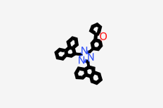 c1ccc2c(c1)cc(-c1nc(-c3ccc4oc5ccccc5c4c3)nc(-c3cc4ccccc4c4ccccc34)n1)c1ccccc12